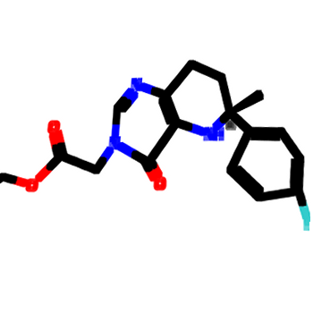 CCOC(=O)Cn1cnc2c(c1=O)N[C@@](C)(c1ccc(F)cc1)CC2